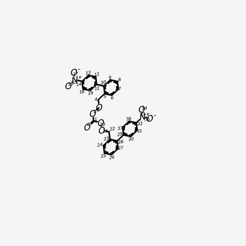 O=C(OOCc1ccccc1-c1ccc([N+](=O)[O-])cc1)OOCc1ccccc1-c1ccc([N+](=O)[O-])cc1